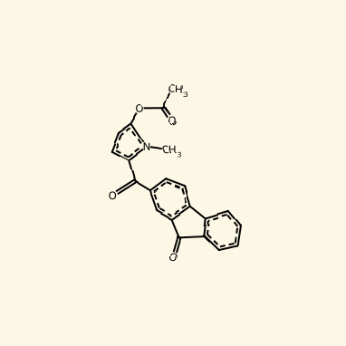 CC(=O)Oc1ccc(C(=O)c2ccc3c(c2)C(=O)c2ccccc2-3)n1C